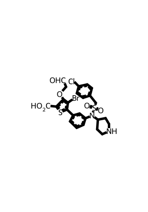 O=CCOc1c(C(=O)O)sc(-c2cccc(N(C3CCNCC3)S(=O)(=O)Cc3ccc(Cl)cc3)c2)c1Br